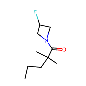 CCCC(C)(C)C(=O)N1CC(F)C1